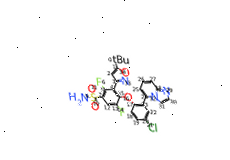 CC(C)(C)c1cc(-c2c(F)c(S(N)(=O)=O)cc(F)c2Oc2ccc(Cl)cc2-c2cccc3nccn23)no1